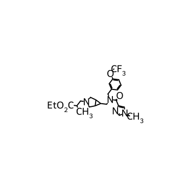 CCOC(=O)C(C)CN1CC2C(C1)C2CN(Cc1cccc(OC(F)(F)F)c1)C(=O)c1cn(C)cn1